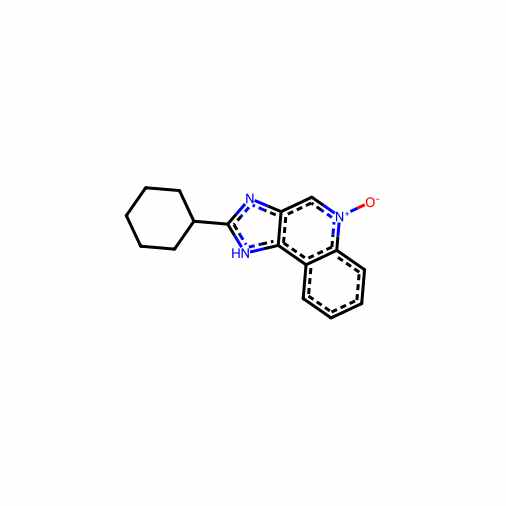 [O-][n+]1cc2nc(C3CCCCC3)[nH]c2c2ccccc21